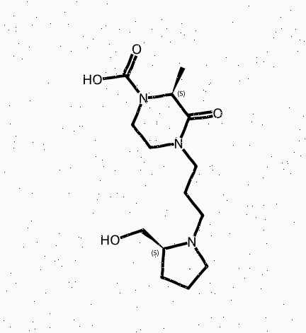 C[C@H]1C(=O)N(CCCN2CCC[C@H]2CO)CCN1C(=O)O